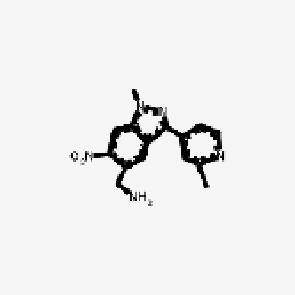 Cc1cc(-c2nn(C)c3cc([N+](=O)[O-])c(CN)cc23)ccn1